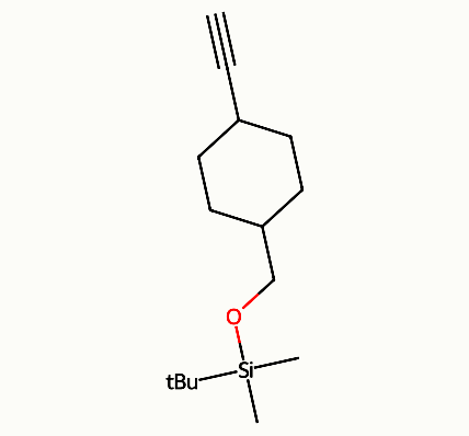 C#CC1CCC(CO[Si](C)(C)C(C)(C)C)CC1